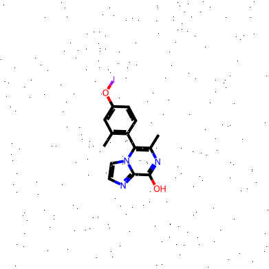 Cc1cc(OI)ccc1-c1c(C)nc(O)c2nccn12